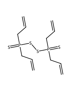 C=CCP(=S)(CC=C)SSP(=S)(CC=C)CC=C